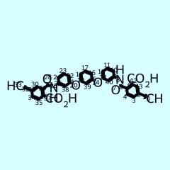 C#Cc1ccc(C(=O)Nc2cccc(Oc3cccc(Oc4cccc(NC(=O)c5cc(C#C)ccc5C(=O)O)c4)c3)c2)c(C(=O)O)c1